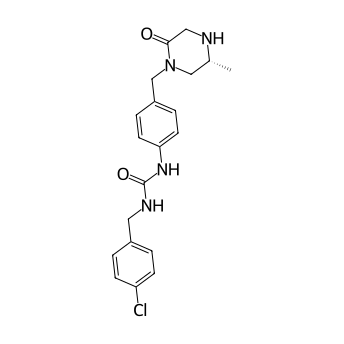 C[C@@H]1CN(Cc2ccc(NC(=O)NCc3ccc(Cl)cc3)cc2)C(=O)CN1